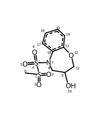 CS(=O)(=O)S(=O)(=O)N1CC(O)COc2ccccc21